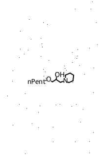 CCCCCOCC(O)CN1CCCCC1